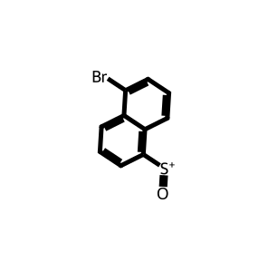 O=[S+]c1cccc2c(Br)cccc12